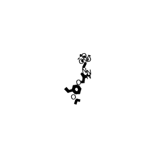 C=Cc1cc(OCc2cn(CC[Si](OC)(OC)OC)nn2)ccc1OC(C)C